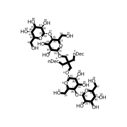 CCCCCCCCCCCC(CCCCCCCCCCC)(CO[C@H]1OC(CO)[C@H](O[C@@H]2OC(CO)[C@H](O)C(O)[C@H]2O)C(O)[C@H]1O)CO[C@H]1OC(CO)[C@H](O[C@@H]2OC(CO)[C@H](O)C(O)[C@H]2O)C(O)[C@H]1O